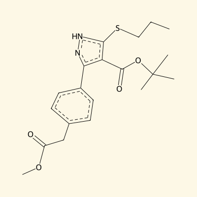 CCCSc1[nH]nc(-c2ccc(CC(=O)OC)cc2)c1C(=O)OC(C)(C)C